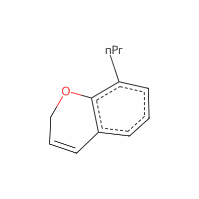 CCCc1cccc2c1OCC=C2